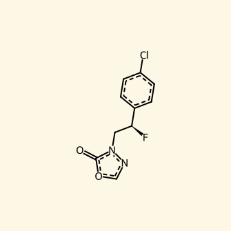 O=c1ocnn1C[C@H](F)c1ccc(Cl)cc1